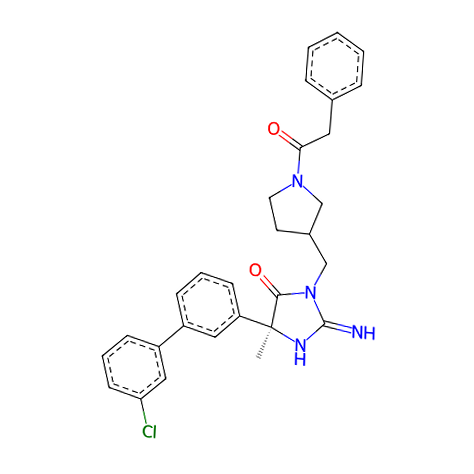 C[C@@]1(c2cccc(-c3cccc(Cl)c3)c2)NC(=N)N(CC2CCN(C(=O)Cc3ccccc3)C2)C1=O